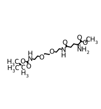 COC(=O)[C@@H](N)CCC(=O)NCCOCCOCCNC(=O)OC(C)(C)C